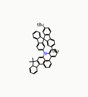 CC(C)(C)c1ccc2c(c1)C1(c3ccccc3-c3ccc(N(c4ccc5c(c4)C(C)(C)C4C=CC=CC54)c4ccccc4-c4ccccc4)cc31)c1cc(C(C)(C)C)ccc1-2